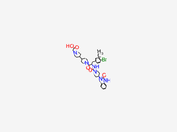 Cc1cc(CC(NC(=O)N2CCC(N3Cc4ccccc4NC3=O)CC2)C(=O)N2CCC(C3CCN(CC(=O)O)CC3)CC2)ccc1Br